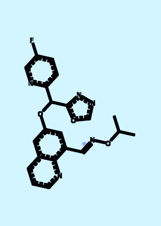 CC(C)O/N=C/c1cc(OC(c2ccc(F)cn2)c2nnco2)cc2cccnc12